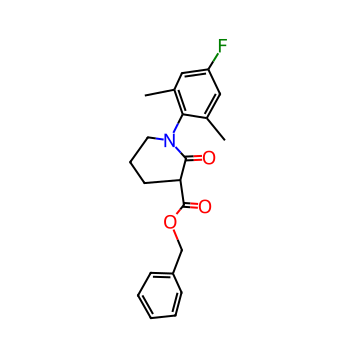 Cc1cc(F)cc(C)c1N1CCCC(C(=O)OCc2ccccc2)C1=O